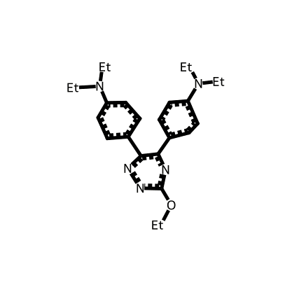 CCOc1nnc(-c2ccc(N(CC)CC)cc2)c(-c2ccc(N(CC)CC)cc2)n1